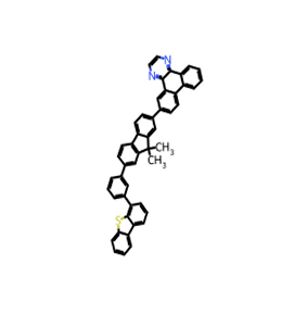 CC1(C)c2cc(-c3cccc(-c4cccc5c4sc4ccccc45)c3)ccc2-c2ccc(-c3ccc4c5ccccc5c5nccnc5c4c3)cc21